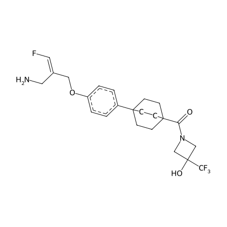 NC/C(=C\F)COc1ccc(C23CCC(C(=O)N4CC(O)(C(F)(F)F)C4)(CC2)CC3)cc1